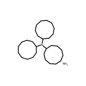 C1CCCCC(N(C2CCCCCCCCC2)C2CCCCCCCCC2)CCCC1.N